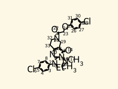 CCN(c1ccc(Cl)cc1)c1nc2c(c(=O)n1N(C)C)CN(C(=O)COc1ccc(Cl)cc1)CC2